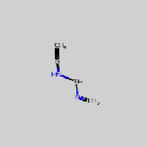 C=BNBN=C